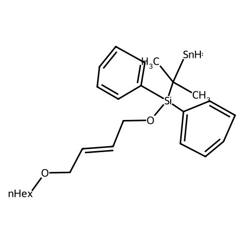 CCCCCCOCC=CCO[Si](c1ccccc1)(c1ccccc1)[C](C)(C)[SnH]